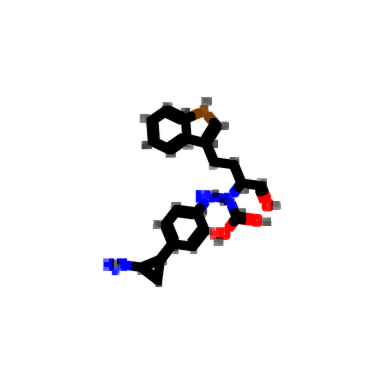 NC1CC1c1ccc(NN(C(=O)O)C(C=O)CCc2csc3ccccc23)cc1